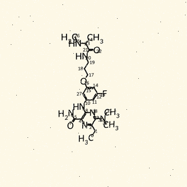 CCc1nc(C(N)=O)c(Nc2cc(F)cc(OCCCNC(=O)[C@H](C)NC)c2)nc1N(C)C